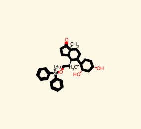 CC(C)(C)[Si](OCC[C@H]1C2CCC(=O)[C@@]2(C)CCC1[C@@]1(C)CC[C@H](O)C[C@@H]1O)(c1ccccc1)c1ccccc1